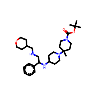 CC(C)(C)OC(=O)N1CCC(C)(N2CCC(NC(CNCC3CCOCC3)c3ccccc3)CC2)CC1